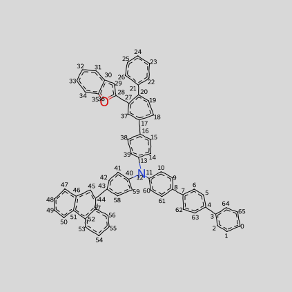 c1ccc(-c2ccc(-c3ccc(N(c4ccc(-c5ccc(-c6ccccc6)c(-c6cc7ccccc7o6)c5)cc4)c4ccc(-c5cc6ccccc6c6ccccc56)cc4)cc3)cc2)cc1